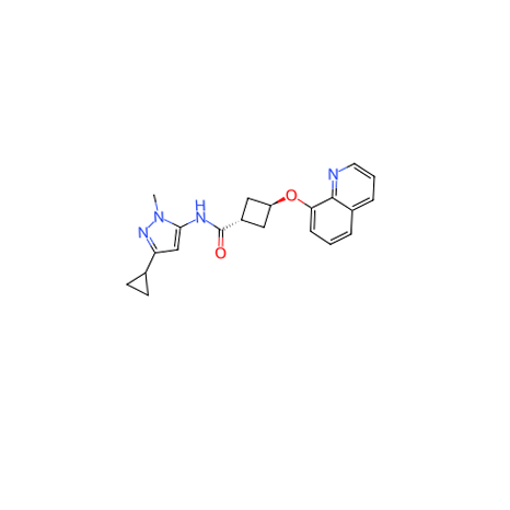 Cn1nc(C2CC2)cc1NC(=O)[C@H]1C[C@H](Oc2cccc3cccnc23)C1